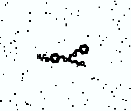 COc1ccc(CO[C@H](CCC=O)COCc2ccccc2)cc1